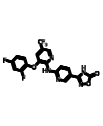 O=c1[nH]c(-c2ccc(Nc3ncc(C(F)(F)F)cc3Oc3ccc(F)cc3F)nc2)no1